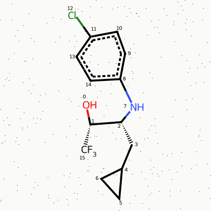 O[C@H]([C@@H](CC1CC1)Nc1ccc(Cl)cc1)C(F)(F)F